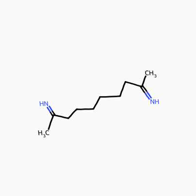 CC(=N)CCCCCCC(C)=N